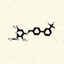 NNc1nc(N)cc(OCc2ccc(-c3cccc(C(F)(F)F)c3)cc2)c1N